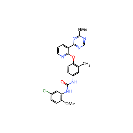 CNc1ncnc(-c2cccnc2Oc2ccc(NC(=O)Nc3cc(Cl)ccc3OC)cc2C)n1